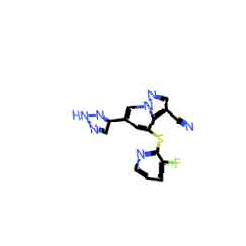 N#Cc1cnn2cc(-c3cn[nH]n3)cc(Sc3ncccc3F)c12